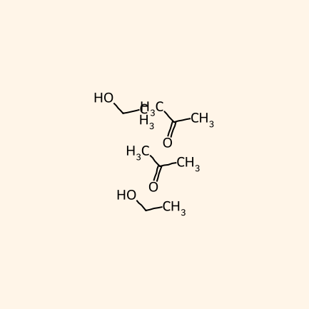 CC(C)=O.CC(C)=O.CCO.CCO